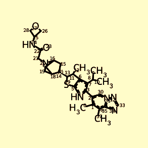 Cc1c(-c2[nH]c3c(c2C(C)C)C(C)C([C@@H]2CC4CC2CN4CC(=O)NC2COC2)S3)cn2ncnc2c1C